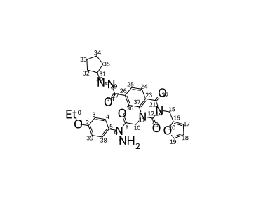 CCOc1ccc(N(N)C(=O)Cn2c(=O)n(Cc3ccco3)c(=O)c3ccc(C(=O)N=NC4CCCC4)cc32)cc1